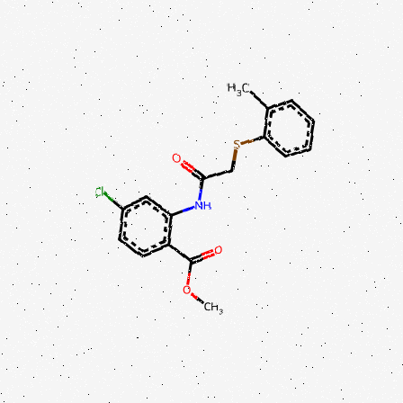 COC(=O)c1ccc(Cl)cc1NC(=O)CSc1ccccc1C